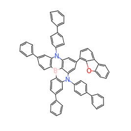 c1ccc(-c2ccc(N3c4cc(-c5ccccc5)ccc4B4c5ccc(-c6ccccc6)cc5N(c5ccc(-c6ccccc6)cc5)c5cc(-c6cccc7c6oc6ccccc67)cc3c54)cc2)cc1